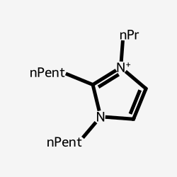 CCCCCc1n(CCCCC)cc[n+]1CCC